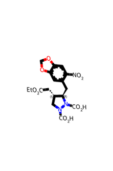 CCOC(=O)C[C@H]1CN(C(=O)O)N(C(=O)O)[C@@H]1Cc1cc2c(cc1[N+](=O)[O-])OCO2